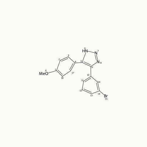 COc1ccc(-c2[nH]nnc2-c2cccc(Br)c2)cc1